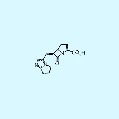 O=C(O)C1=CCC2C(=Cc3cnc4n3CCS4)C(=O)N12